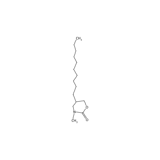 CCCCCCCCCCC1COC(=O)N(C)C1